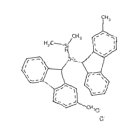 Cc1ccc2c(c1)[CH]([Zr+2]([CH]1c3ccccc3-c3ccc(C)cc31)[SiH](C)C)c1ccccc1-2.[Cl-].[Cl-]